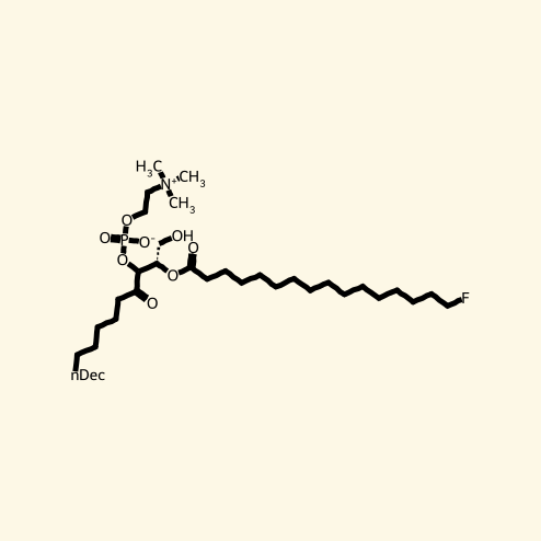 CCCCCCCCCCCCCCCC(=O)C(OP(=O)([O-])OCC[N+](C)(C)C)[C@H](CO)OC(=O)CCCCCCCCCCCCCCCF